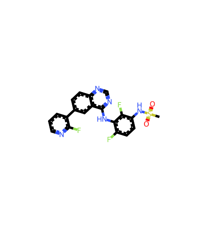 CS(=O)(=O)Nc1ccc(F)c(Nc2ncnc3ccc(-c4cccnc4F)cc23)c1F